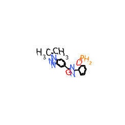 CC(C)n1nnc2cc(-c3nc(-c4ccccc4OP)no3)ccc21